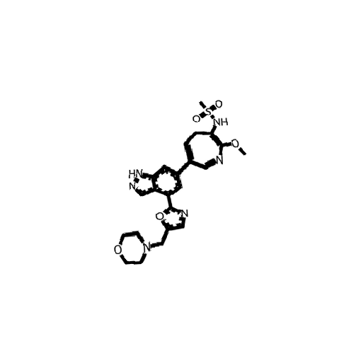 COC1=C(NS(C)(=O)=O)CC=C(c2cc(-c3ncc(CN4CCOCC4)o3)c3cn[nH]c3c2)C=N1